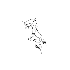 CC(=O)O[C@@H]1CC(=O)[C@@]2(C)C(CC[C@]3(C)[C@@H]2CC=C2[C@@H]4[C@@H](C)[C@H](C)CC[C@]4(C)CC[C@]23C)C1(C)N